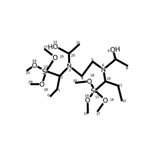 CCC(N(CCN(C(C)O)C(CC)[Si](OC)(OC)OC)C(C)O)[Si](OC)(OC)OC